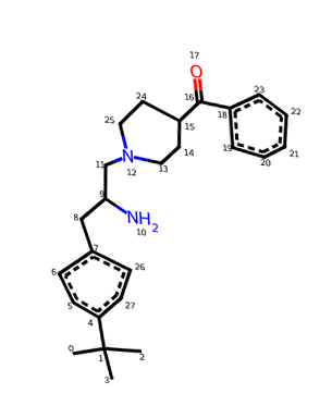 CC(C)(C)c1ccc(CC(N)CN2CCC(C(=O)c3ccccc3)CC2)cc1